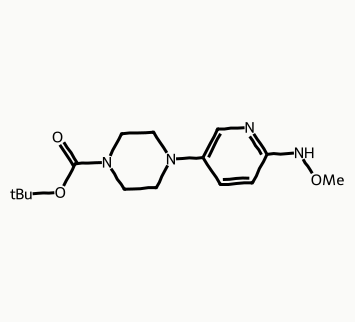 CONc1ccc(N2CCN(C(=O)OC(C)(C)C)CC2)cn1